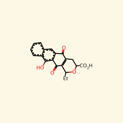 CCC1OC(C(=O)O)CC2=C1C(=O)c1c(cc3ccccc3c1O)C2=O